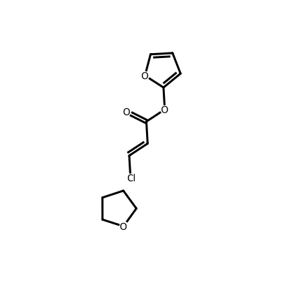 C1CCOC1.O=C(C=CCl)Oc1ccco1